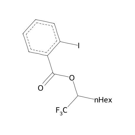 CCCCCCC(OC(=O)c1ccccc1I)C(F)(F)F